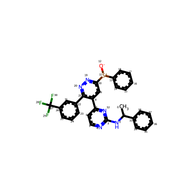 CC(Nc1nccc(-c2cc([S+]([O-])c3ccccc3)nnc2-c2cccc(C(F)(F)F)c2)n1)c1ccccc1